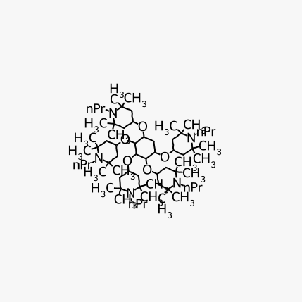 CCCN1C(C)(C)CC(OC2CC(OC3CC(C)(C)N(CCC)C(C)(C)C3)C(OC3CC(C)(C)N(CCC)C(C)(C)C3)C(OC3CC(C)(C)N(CCC)C(C)(C)C3)C2OC2CC(C)(C)N(CCC)C(C)(C)C2)CC1(C)C